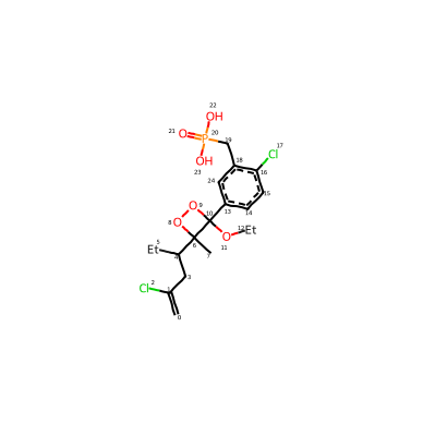 C=C(Cl)CC(CC)C1(C)OOC1(OCC)c1ccc(Cl)c(CP(=O)(O)O)c1